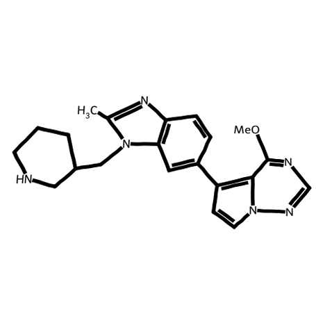 COc1ncnn2ccc(-c3ccc4nc(C)n(CC5CCCNC5)c4c3)c12